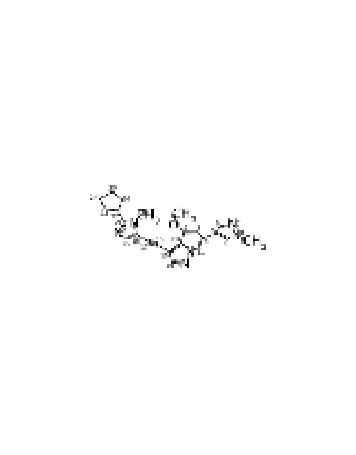 COc1cc(-c2cnn(C)c2)cn2ncc(C#Cc3cnc(C4CCCC4)n3C)c12